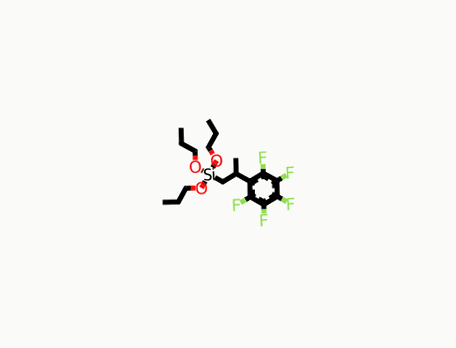 CCCO[Si](CC(C)c1c(F)c(F)c(F)c(F)c1F)(OCCC)OCCC